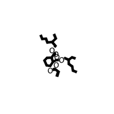 C=CC(=O)OC1(C(=O)OCC(CC)CCCC)CCCCC1C(=O)OCC(CC)CCCC